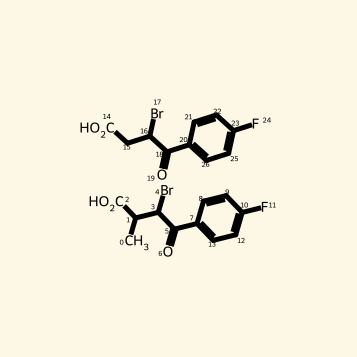 CC(C(=O)O)C(Br)C(=O)c1ccc(F)cc1.O=C(O)CC(Br)C(=O)c1ccc(F)cc1